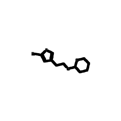 Brc1cc(CCOC2CCCCO2)cs1